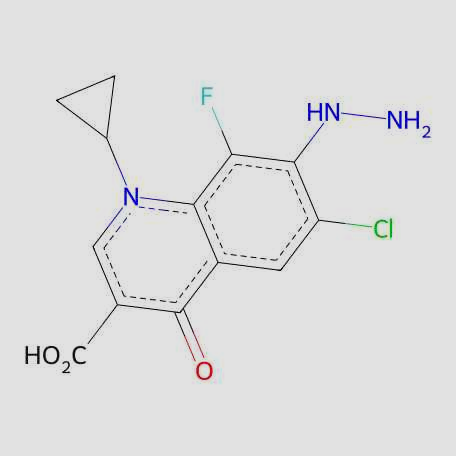 NNc1c(Cl)cc2c(=O)c(C(=O)O)cn(C3CC3)c2c1F